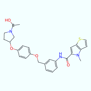 CB(O)N1CCC(Oc2ccc(OCc3cccc(NC(=O)c4cc5sccc5n4C)c3)cc2)C1